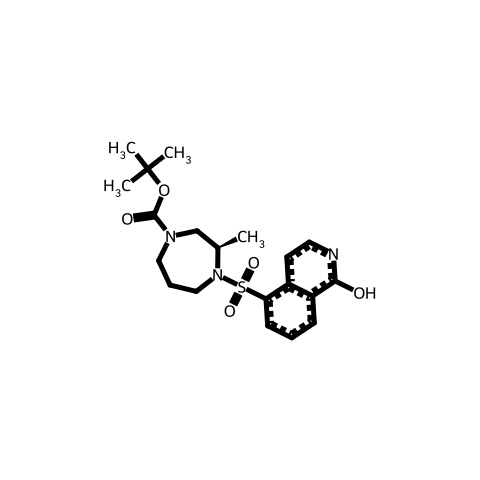 C[C@@H]1CN(C(=O)OC(C)(C)C)CCCN1S(=O)(=O)c1cccc2c(O)nccc12